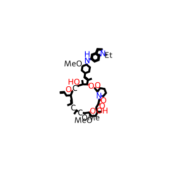 C=CCC1/C=C(\C)CC(C)CC(OC)C2OC(O)(C(=O)C(=O)N3CCCCC3C(=O)OC(C(C)=CC3CCC(Nc4ccc5c(ccn5CC)c4)C(OC)C3)C(C)C(O)CC1=O)C(C)CC2OC